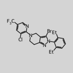 CCc1cccc(CC)c1-n1nc2c(c1Br)CN(c1ncc(C(F)(F)F)cc1Cl)CC2